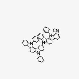 N#Cc1cccc2c3ccc4c(c5ccccc5n4-c4ccc5c(c4)c4c(ccc6c7ccccc7n(-c7ccccc7)c64)n5-c4ccccc4)c3n(-c3ccccc3)c12